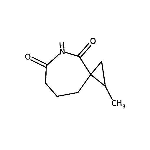 CC1CC12CCCC(=O)NC2=O